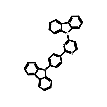 c1ccc2c(c1)B(c1ccc(-c3nccc(-n4c5ccccc5c5ccccc54)n3)cc1)c1ccccc1-2